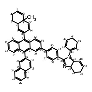 CC12C=CCCC1C=C(c1c3ccccc3c(-c3ccc4ccccc4c3)c3cc(-c4ccc(C5=NC6CCC=CC6N5C5=CCCC=C5)cc4)ccc13)C=C2